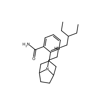 CCC(CC)CNCCN1C2CCC1CC(c1ccccc1C(N)=O)C2